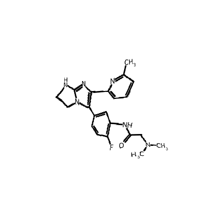 Cc1cccc(-c2nc3n(c2-c2ccc(F)c(NC(=O)CN(C)C)c2)CCN3)n1